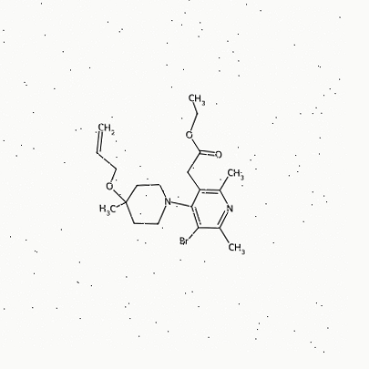 C=CCOC1(C)CCN(c2c(Br)c(C)nc(C)c2CC(=O)OCC)CC1